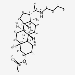 CCCCNC(C)[C@H]1CC[C@H]2[C@@H]3CC[C@H]4C[C@@H](OC(C)=O)CC[C@]4(C)[C@H]3CC[C@]12C